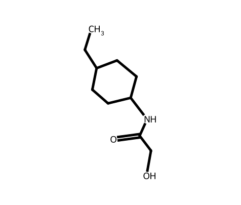 CCC1CCC(NC(=O)CO)CC1